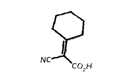 N#CC(C(=O)O)=C1CCCCC1